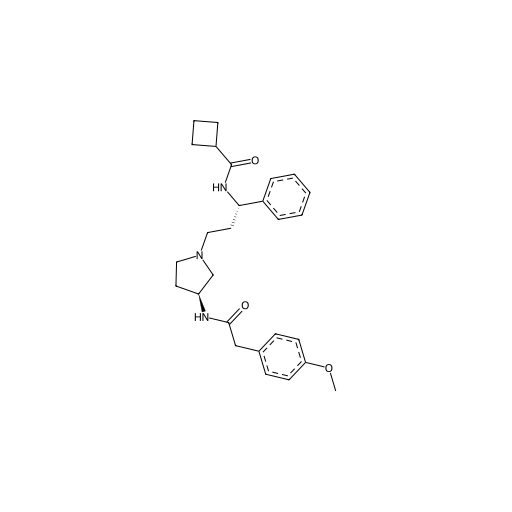 COc1ccc(CC(=O)N[C@H]2CCN(CC[C@H](NC(=O)C3CCC3)c3ccccc3)C2)cc1